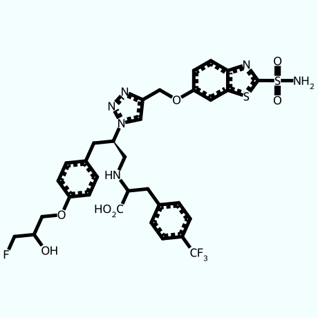 NS(=O)(=O)c1nc2ccc(OCc3cn([C@@H](CNC(Cc4ccc(C(F)(F)F)cc4)C(=O)O)Cc4ccc(OCC(O)CF)cc4)nn3)cc2s1